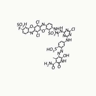 Cc1c(N=Nc2cc(Nc3nc(Cl)nc(NC(C)CNc4ccc5c(c4S(=O)(=O)O)Oc4c(Cl)c6c(c(Cl)c4=N5)Oc4c(ccc(F)c4S(=O)(=O)O)N=6)n3)ccc2S(=O)(=O)O)c(O)[nH]c(=O)c1C(N)=O